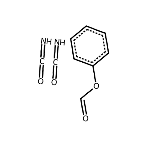 N=C=O.N=C=O.O=COc1ccccc1